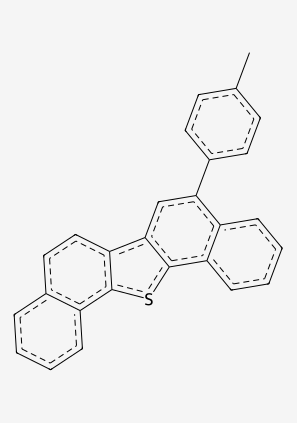 Cc1ccc(-c2cc3c4ccc5ccccc5c4sc3c3ccccc23)cc1